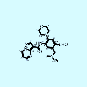 CC(C)N(C)Cc1cc(NC(=O)c2cnn3cccnc23)c(N2CCOCC2)cc1C=O